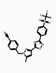 Cc1cc(-c2nc(-c3ccc(S(=O)(=O)C(F)(F)F)cc3)no2)nn1Cc1ccc(C#N)cc1